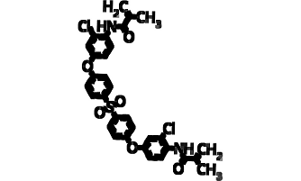 C=C(C)C(=O)Nc1ccc(Oc2ccc(S(=O)(=O)c3ccc(Oc4ccc(NC(=O)C(=C)C)c(Cl)c4)cc3)cc2)cc1Cl